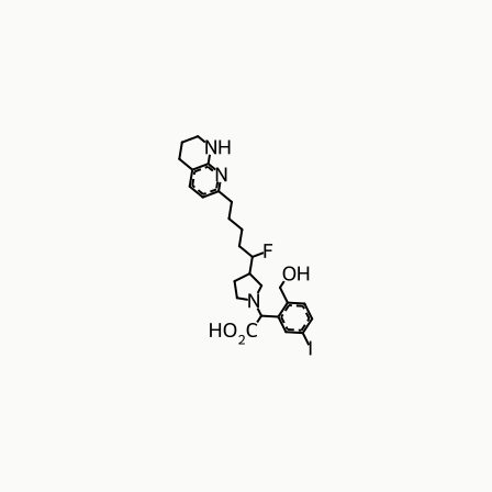 O=C(O)C(c1cc(I)ccc1CO)N1CCC(C(F)CCCCc2ccc3c(n2)NCCC3)C1